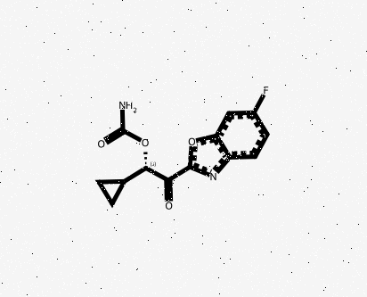 NC(=O)O[C@H](C(=O)c1nc2ccc(F)cc2o1)C1CC1